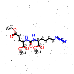 CC(C)(C)OC(=O)CCC(NC(=O)NC(CCCCN=[N+]=[N-])C(=O)OC(C)(C)C)C(=O)OC(C)(C)C